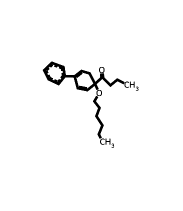 CCCCCCOC1(C(=O)CCC)C=CC(c2ccccc2)=CC1